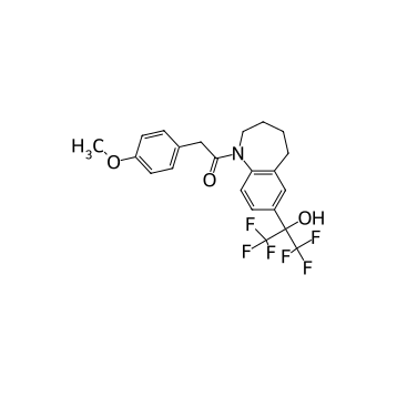 COc1ccc(CC(=O)N2CCCCc3cc(C(O)(C(F)(F)F)C(F)(F)F)ccc32)cc1